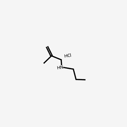 C=C(C)CNCCC.Cl